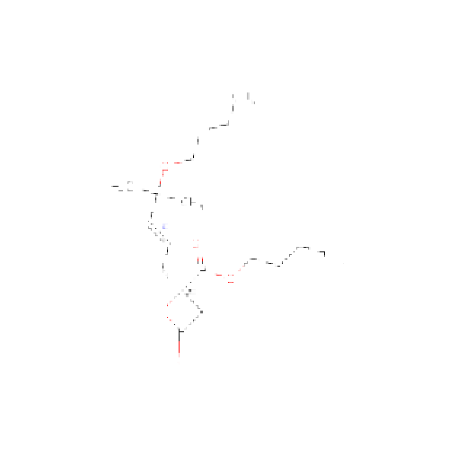 CCCCOC(=O)[C@@]1(C/C=C/C(C)(C)OCCCC)CC(=O)O1